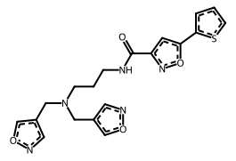 O=C(NCCCN(Cc1cnoc1)Cc1cnoc1)c1cc(-c2cccs2)on1